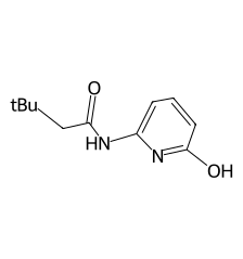 CC(C)(C)CC(=O)Nc1cccc(O)n1